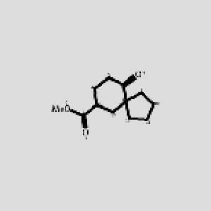 COC(=O)C1CCC(=O)C2(CCCC2)C1